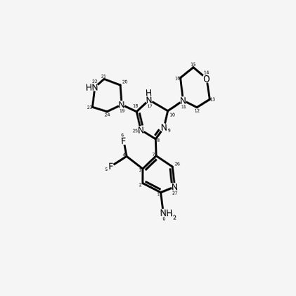 Nc1cc(C(F)F)c(C2=NC(N3CCOCC3)NC(N3CCNCC3)=N2)cn1